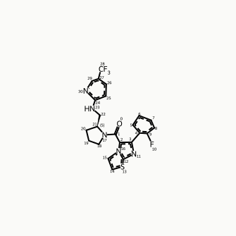 O=C(c1c(-c2ccccc2F)nc2sccn12)N1CCC[C@H]1CNc1ccc(C(F)(F)F)cn1